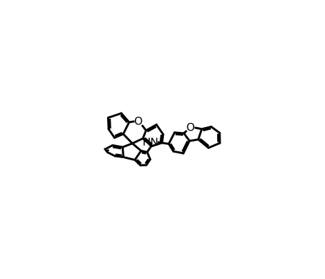 c1ccc2c(c1)Oc1ccccc1C21c2ccccc2-c2cccc(Nc3ccc4c(c3)oc3ccccc34)c21